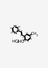 Cc1ccc(O)c(C=Cc2cnccn2)c1.Cl